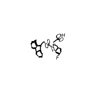 O=C(O)C[C@H](Cc1ccc(F)cc1)NC(=O)OCC1c2ccccc2-c2ccccc21